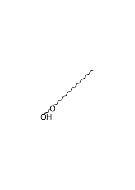 CCCCCCCCCCCCCCCCCCOC/C=C/O